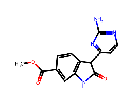 COC(=O)c1ccc2c(c1)NC(=O)C2c1ccnc(N)n1